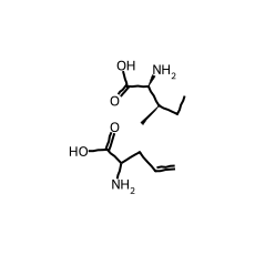 C=CCC(N)C(=O)O.CC[C@@H](C)[C@H](N)C(=O)O